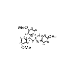 COc1cccc(C(=CCSc2ccc(OC(C)=O)cc2I)c2cccc(OC)c2)c1